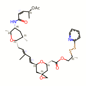 CC(=O)O[C@@H](C)/C=C\C(=O)N[C@@H]1C[C@H](C)[C@H](C/C=C(C)/C=C/[C@@H]2C[C@]3(CO3)C[C@@H](CC(=O)OC[C@@H](C)SSc3ccccn3)O2)O[C@@H]1C